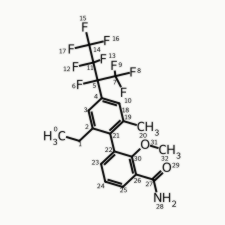 CCc1cc(C(F)(C(F)(F)F)C(F)(F)C(F)(F)F)cc(C)c1-c1cccc(C(N)=O)c1OC